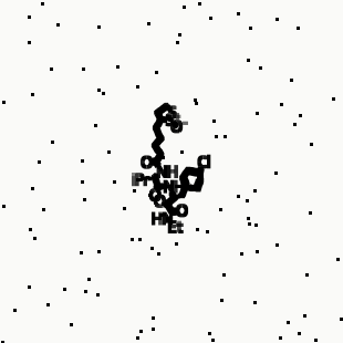 CCNC(=O)C(=O)[C@H](Cc1ccc(Cl)cc1)NC(=O)[C@@H](NC(=O)CCCCC1CCS[S+]1[O-])C(C)C